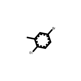 [CH2]c1cc(Br)ccc1CC